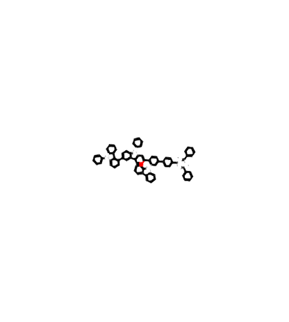 c1ccc(-c2nc(-c3ccccc3)nc(-c3ccc(-c4ccc(-c5ccc6c7cc(-c8cccc9c8c8ccccc8n9-c8ccccc8)ccc7n(-c7ccccc7)c6c5)c(-n5c6ccccc6c6ccccc65)c4)cc3)n2)cc1